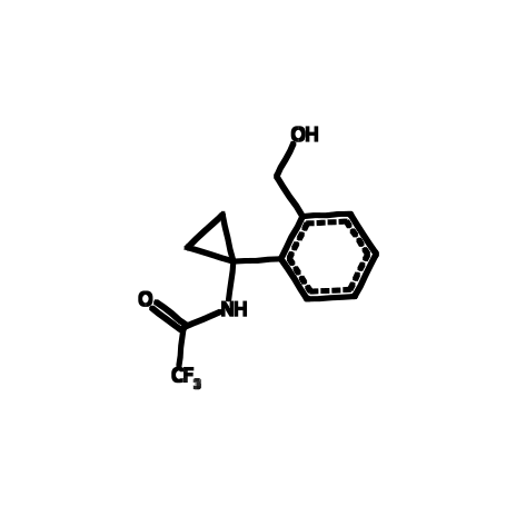 O=C(NC1(c2ccccc2CO)CC1)C(F)(F)F